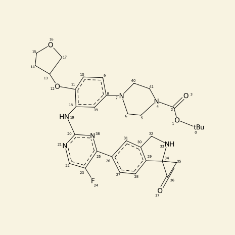 CC(C)(C)OC(=O)N1CCN(c2ccc(OC3CCOC3)c(Nc3ncc(F)c(-c4ccc5c(c4)CNC54CC4=O)n3)c2)CC1